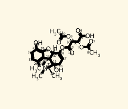 CC(=O)O[C@@H](C(=O)O)[C@@H](OC(C)=O)C(=O)OC1=CC[C@@]2(O)[C@@H](C)N(C)CC[C@@]23c2c(C)ccc(O)c2O[C@@H]13